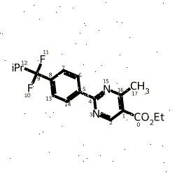 CCOC(=O)c1cnc(-c2ccc(C(F)(F)C(C)C)cc2)nc1C